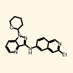 CCc1cc2cc(Nc3nn(C4CCCCO4)c4cccnc34)ccc2cn1